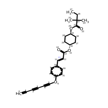 C#CC#CC#COc1ccc(/C=C/C(=O)O[C@H]2CC[C@H](OC(=O)C(C)(C)CC)CC2)cc1